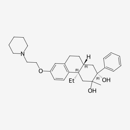 CC[C@@]12CC(C)(O)[C@](O)(c3ccccc3)C[C@H]1CCc1cc(OCCN3CCCCC3)ccc12